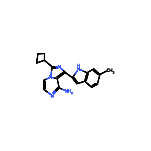 Cc1ccc2cc(-c3nc(C4CCC4)n4ccnc(N)c34)[nH]c2c1